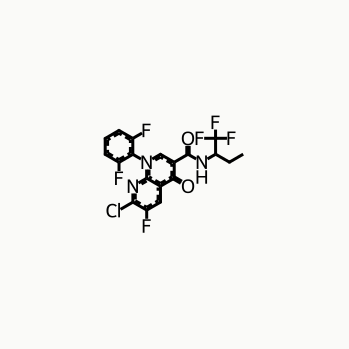 CCC(NC(=O)c1cn(-c2c(F)cccc2F)c2nc(Cl)c(F)cc2c1=O)C(F)(F)F